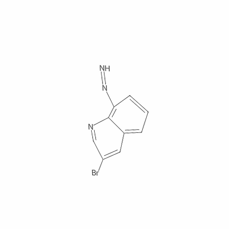 N=Nc1cccc2cc(Br)cnc12